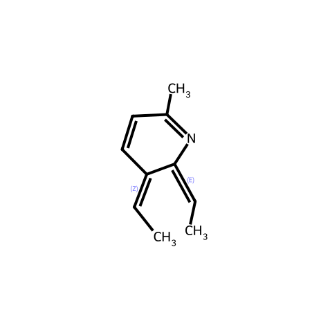 C/C=c1/ccc(C)n/c1=C/C